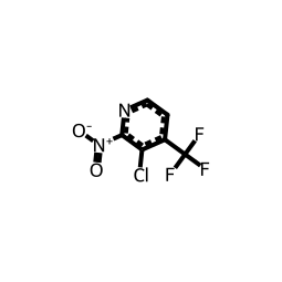 O=[N+]([O-])c1nccc(C(F)(F)F)c1Cl